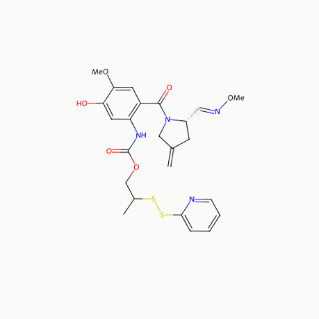 C=C1C[C@@H](/C=N/OC)N(C(=O)c2cc(OC)c(O)cc2NC(=O)OCC(C)SSc2ccccn2)C1